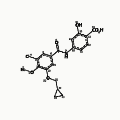 CCOc1c(Cl)cc(C(=O)Nc2ccc(C(=O)O)c(O)c2)cc1OCC1CC1